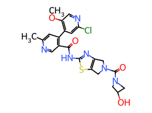 COc1cnc(Cl)cc1-c1cc(C)ncc1C(=O)Nc1nc2c(s1)CN(C(=O)N1CC(O)C1)C2